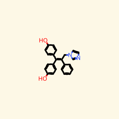 Oc1ccc(C(=C(Cn2ccnc2)c2ccccc2)c2ccc(O)cc2)cc1